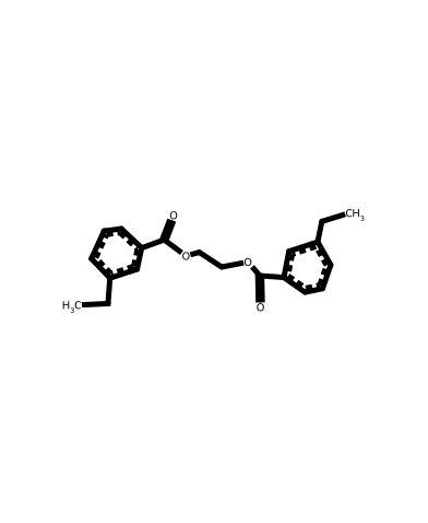 CCc1cccc(C(=O)OCCOC(=O)c2cccc(CC)c2)c1